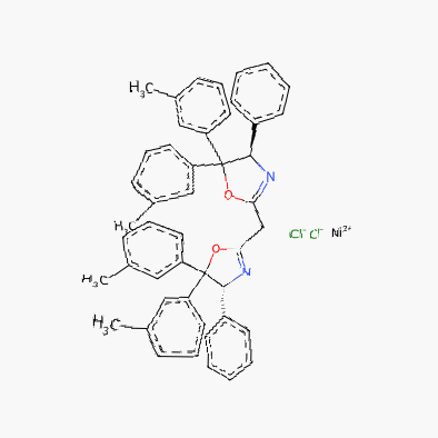 Cc1cccc(C2(c3cccc(C)c3)OC(CC3=N[C@H](c4ccccc4)C(c4cccc(C)c4)(c4cccc(C)c4)O3)=N[C@@H]2c2ccccc2)c1.[Cl-].[Cl-].[Ni+2]